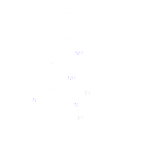 CCN(CC)c1ccncc1NC(=S)NC1CCCCC1